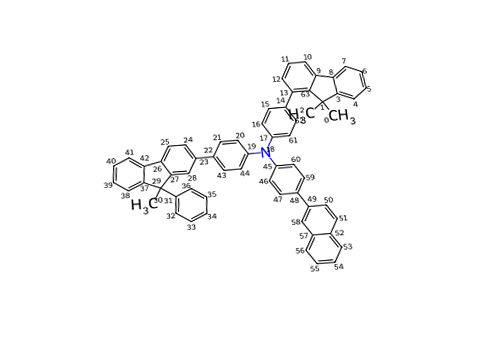 CC1(C)c2ccccc2-c2cccc(-c3ccc(N(c4ccc(-c5ccc6c(c5)C(C)(c5ccccc5)c5ccccc5-6)cc4)c4ccc(-c5ccc6ccccc6c5)cc4)cc3)c21